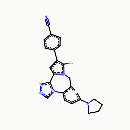 N#Cc1ccc(-c2cc3n(c2Cl)Cc2cc(N4CCCC4)ccc2-n2cnnc2-3)cc1